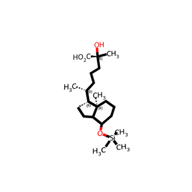 C[C@H](CCC[C@@](C)(O)C(=O)O)[C@H]1CCC2C(O[Si](C)(C)C)CCC[C@@]21C